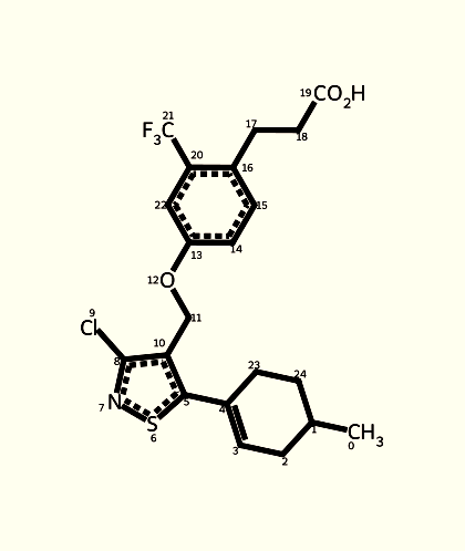 CC1CC=C(c2snc(Cl)c2COc2ccc(CCC(=O)O)c(C(F)(F)F)c2)CC1